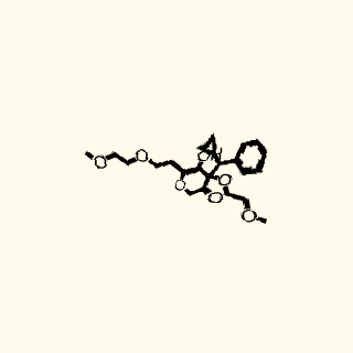 COCCOCCC1=C(O)C(OCCOC)(C(c2ccccc2)C2CC2)C(=O)CO1